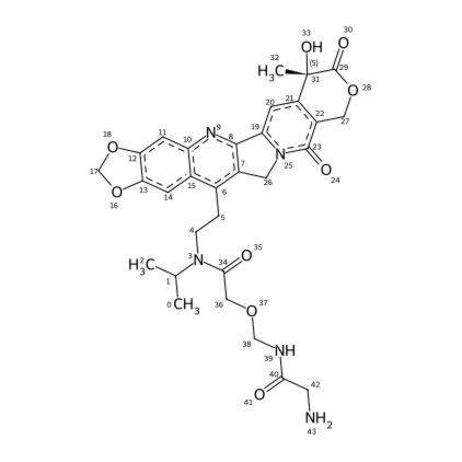 CC(C)N(CCc1c2c(nc3cc4c(cc13)OCO4)-c1cc3c(c(=O)n1C2)COC(=O)[C@@]3(C)O)C(=O)COCNC(=O)CN